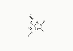 C=C[CH][Si](OCC)(OCC)OCC